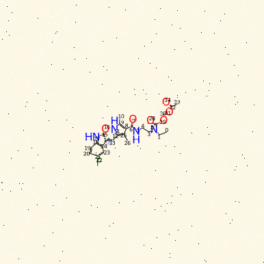 CCN(CCNC(=O)c1c(C)[nH]c(/C=C2\C(=O)Nc3ccc(F)cc32)c1C)C(=O)OCOC(C)=O